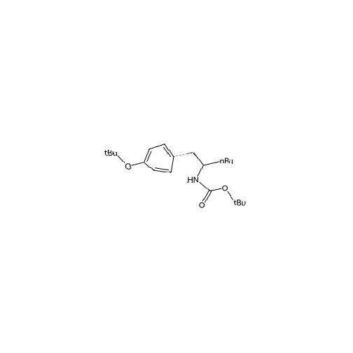 CCCCC(Cc1ccc(OC(C)(C)C)cc1)NC(=O)OC(C)(C)C